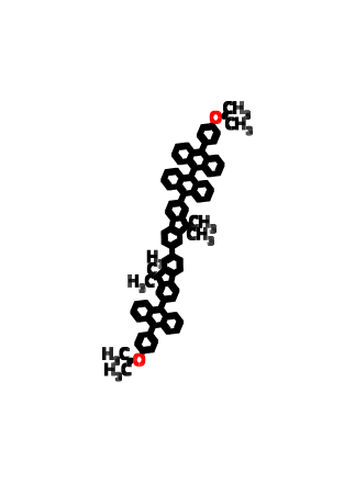 CC(C)Oc1ccc(-c2c3ccccc3c(-c3ccc4c(c3)C(C)(C)c3cc(-c5ccc6c(c5)C(C)(C)c5cc(-c7c8ccccc8c(-c8c9ccccc9c(-c9ccc(OC(C)C)cc9)c9ccccc89)c8ccccc78)ccc5-6)ccc3-4)c3ccccc23)cc1